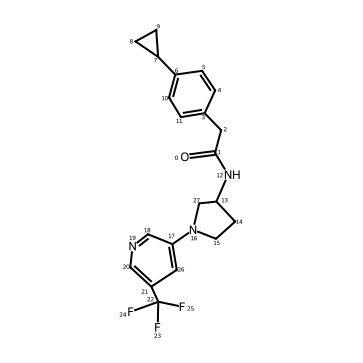 O=C(Cc1ccc(C2CC2)cc1)NC1CCN(c2cncc(C(F)(F)F)c2)C1